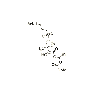 COC(=O)OC(OC(=O)[C@H](O)C(C)(C)COS(=O)(=O)CCCNC(C)=O)C(C)C